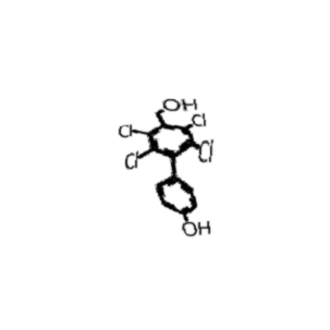 OCc1c(Cl)c(Cl)c(-c2ccc(O)cc2)c(Cl)c1Cl